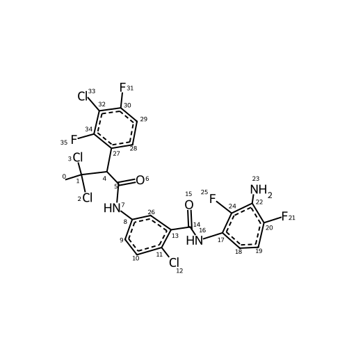 CC(Cl)(Cl)C(C(=O)Nc1ccc(Cl)c(C(=O)Nc2ccc(F)c(N)c2F)c1)c1ccc(F)c(Cl)c1F